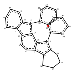 c1ccc(-n2c3c(c4ccc5c6ccccc6n(-c6ccccn6)c5c42)CCCC3)nc1